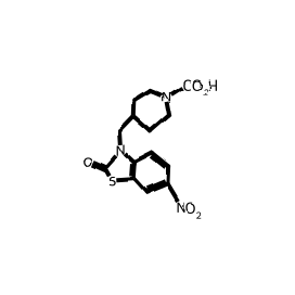 O=C(O)N1CCC(Cn2c(=O)sc3cc([N+](=O)[O-])ccc32)CC1